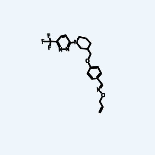 C=CCON=Cc1ccc(OCC2CCCN(c3ccc(C(F)(F)F)nn3)C2)cc1